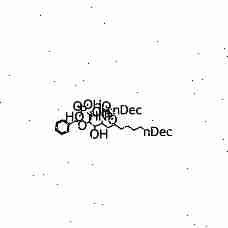 CCCCCCCCCCCCCCCCC(NS(=O)(=O)CCCCCCCCCC)C(O)C(OCc1ccccc1)C(O)P(=O)(O)O